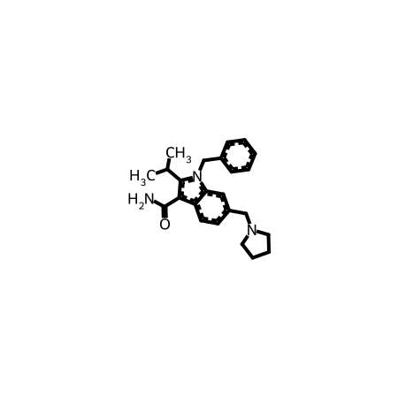 CC(C)c1c(C(N)=O)c2ccc(CN3CCCC3)cc2n1Cc1ccccc1